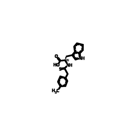 Cc1ccc(CC(=S)N[C@@H](Cc2c[nH]c3ccccc23)C(=O)O)cc1